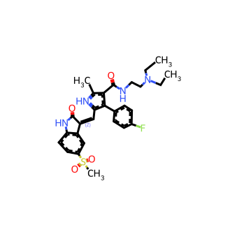 CCN(CC)CCNC(=O)c1c(C)[nH]c(/C=C2\C(=O)Nc3ccc(S(C)(=O)=O)cc32)c1-c1ccc(F)cc1